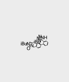 CCC(C)c1cn(C(C)CC)c(=O)n1Cc1ccc(-c2ccccc2-c2nnn[nH]2)cc1